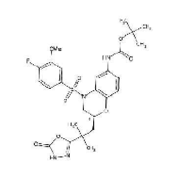 COc1cc(S(=O)(=O)N2C[C@H](CC(C)(C)c3n[nH]c(=O)o3)Oc3ccc(NC(=O)OC(C)(C)C(F)(F)F)cc32)ccc1F